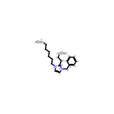 CCCCCCCCCCCCCCCC[n+]1ccn(Cc2ccccc2)c1CCCCCCCCCCCC